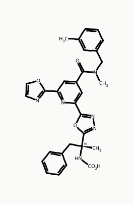 Cc1cccc(CN(C)C(=O)c2cc(-c3ncco3)nc(-c3nnc([C@@](C)(Cc4ccccc4)NC(=O)O)o3)c2)c1